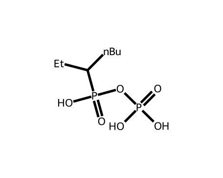 CCCCC(CC)P(=O)(O)OP(=O)(O)O